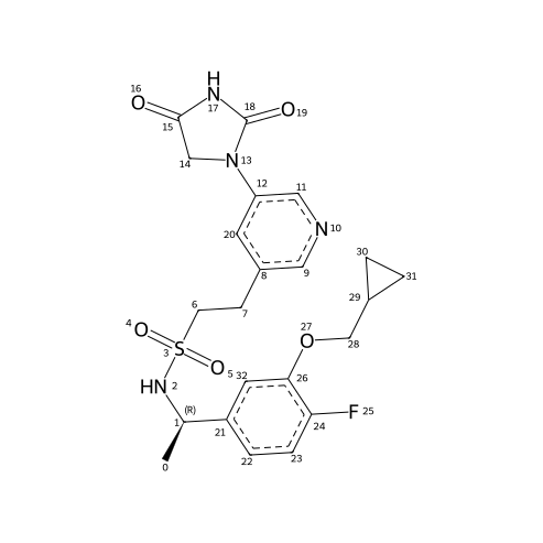 C[C@@H](NS(=O)(=O)CCc1cncc(N2CC(=O)NC2=O)c1)c1ccc(F)c(OCC2CC2)c1